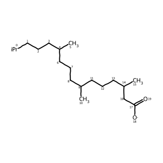 CC(C)CCCC(C)CCCC(C)CCCC(C)CC([O])=O